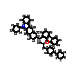 c1ccc(-c2ccc(CCC[C@H](c3ccc4cc5c(cc4c3)c3ccccc3n5-c3ccccc3)c3cccc4c3oc3ccccc34)cc2)cc1